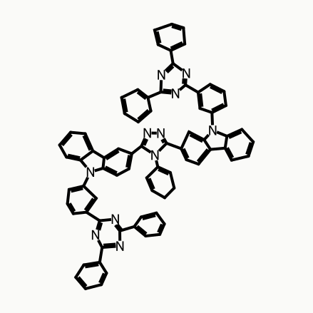 C1=CC(n2c(-c3ccc4c(c3)c3ccccc3n4-c3cccc(-c4nc(-c5ccccc5)nc(-c5ccccc5)n4)c3)nnc2-c2ccc3c4ccccc4n(-c4cccc(-c5nc(-c6ccccc6)nc(-c6ccccc6)n5)c4)c3c2)=CCC1